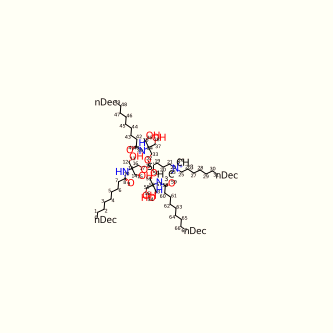 CCCCCCCCCCCCCCCCCC(=O)NC(CO)(CO)CO[Si](CCC[N+](C)(C)CCCCCCCCCCCCCCCC)(OCC(CO)(CO)NC(=O)CCCCCCCCCCCCCCCCC)OCC(CO)(CO)NC(=O)CCCCCCCCCCCCCCCCC